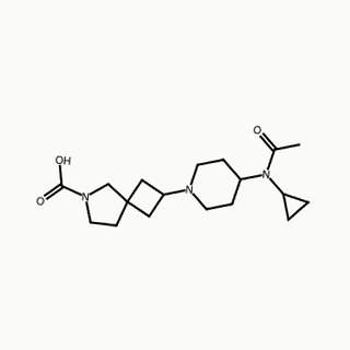 CC(=O)N(C1CC1)C1CCN(C2CC3(CCN(C(=O)O)C3)C2)CC1